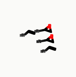 C=CCCC.C=CCCC.CCCC1CO1.CCCC1CO1